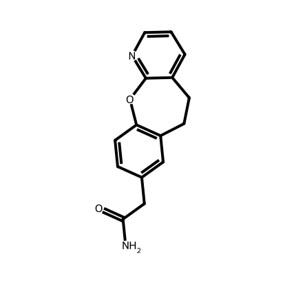 NC(=O)Cc1ccc2c(c1)CCc1cccnc1O2